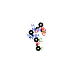 CS(=O)(=O)CC(=O)NC(CC(=O)Nc1ccc2ncnc(Nc3ccc(OCc4cccc(F)c4)c(Cl)c3)c2c1)c1ccccc1